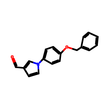 O=Cc1ccn(-c2ccc(OCc3ccccc3)cc2)c1